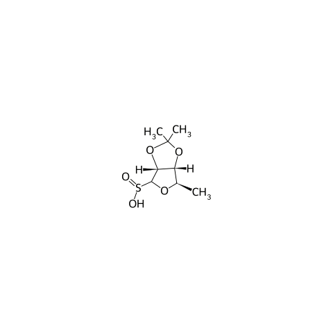 C[C@H]1OC(S(=O)O)[C@@H]2OC(C)(C)O[C@H]12